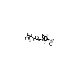 C[Si](C)(C)CCOCn1cc(CCl)cn1